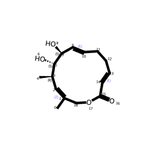 C/C1=C/[C@@H](C)[C@H](O)[C@@H](O)/C=C/CC/C=C/C(=O)OC1